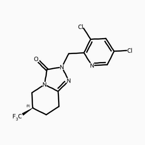 O=c1n(Cc2ncc(Cl)cc2Cl)nc2n1C[C@H](C(F)(F)F)CC2